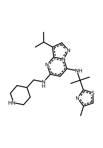 Cc1csc(C(C)(C)Nc2cc(NCC3CCNCC3)nc3c(C(C)C)cnn23)n1